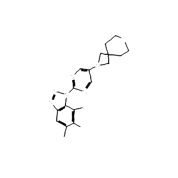 Oc1c(F)cc2nnn(-c3ncc(N4CC5(CCOCC5)C4)cn3)c2c1F